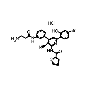 Cl.N#Cc1c(-c2cccc(NC(=O)CCN)c2)cc(-c2ccc(Br)cc2O)nc1NC(=O)c1cccs1